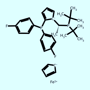 C[C@H]([c-]1cccc1P(c1ccc(F)cc1)c1ccc(F)cc1)P(C(C)(C)C)C(C)(C)C.[Fe+2].c1cc[cH-]c1